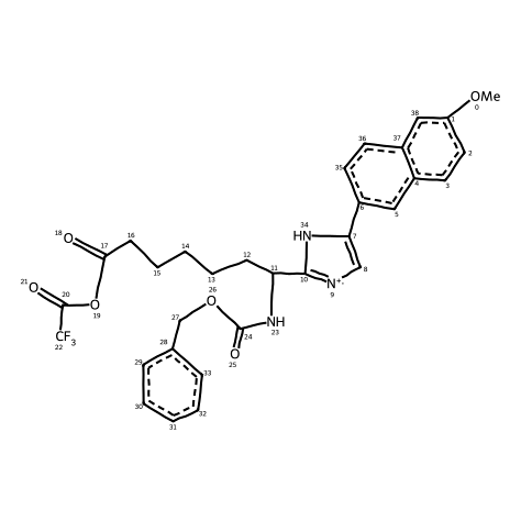 COc1ccc2cc(C3=C[N+]=C(C(CCCCCC(=O)OC(=O)C(F)(F)F)NC(=O)OCc4ccccc4)N3)ccc2c1